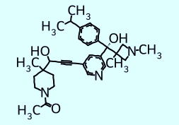 CC(=O)N1CCC(C)(C(O)C#Cc2cncc([C@@](O)(c3ccc(C(C)C)cc3)C3(C)CN(C)C3)c2)CC1